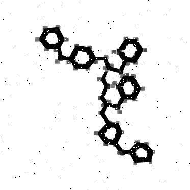 c1ccc(Oc2ccc(C[C@@H](COC[C@H](Cc3ccc(Oc4ccccc4)cc3)Oc3ccccn3)Oc3ccccn3)cc2)cc1